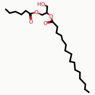 CCCCCCCCCCCCCCCC(=O)OC(CO)COC(=O)CCCCC